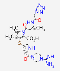 C[C@H](CC(=O)N1C(C(=O)O)=C(S[C@@H]2CN[C@H](C(=O)N3CCN(C(=N)N)CC3)C2)[C@H](C)[C@@H]1C)NC(=O)Cn1cnnn1